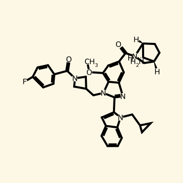 COc1cc(C(=O)N2C[C@H]3CC[C@@H]2[C@@H]3N)cc2nc(-c3cc4ccccc4n3CC3CC3)n(CC3CN(C(=O)c4ccc(F)cc4)C3)c12